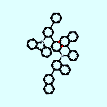 c1ccc(-c2ccc(-n3c4ccccc4c4ccccc43)c(-c3ccc(N(c4ccccc4-c4cccc5ccccc45)c4ccc(-c5ccc6ccccc6c5)c5ccccc45)cc3)c2)cc1